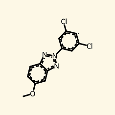 COc1ccc2nn(-c3cc(Cl)[c]c(Cl)c3)nc2c1